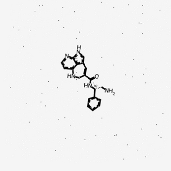 NC[C@@H](NC(=O)C1=Cc2c[nH]c3nccc(c23)NC1)c1ccccc1